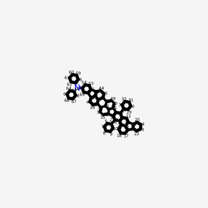 C1=C2c3c(c(-c4ccccc4)c4c(cc5c6c(cccc64)-c4ccccc4-5)c3-c3ccccc3)C3=CC=C4c5ccc6c7c(ccc(c57)C(=C1)C4C23)-c1ccc(N(c2ccccc2)c2ccccc2)cc1-6